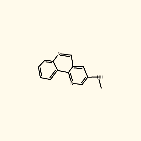 CNc1cnc2c(cnc3ccccc32)c1